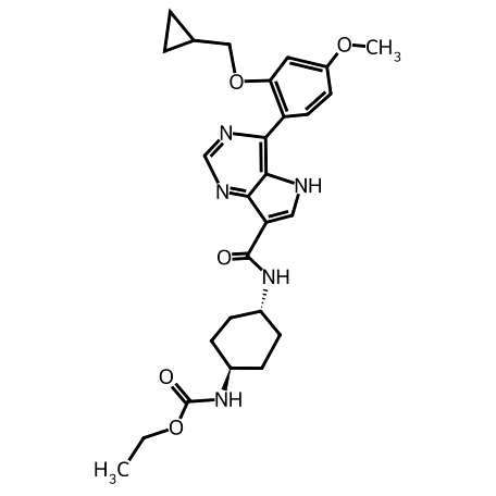 CCOC(=O)N[C@H]1CC[C@H](NC(=O)c2c[nH]c3c(-c4ccc(OC)cc4OCC4CC4)ncnc23)CC1